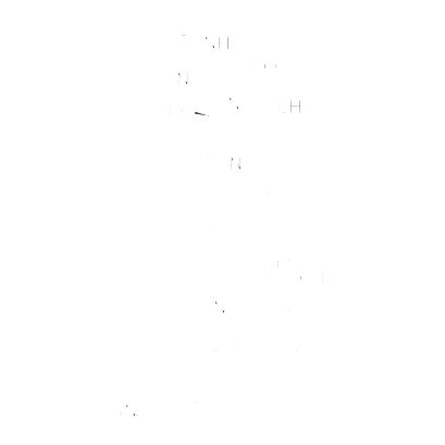 COc1c(-c2ccc(N3CC(C)N(C(=O)c4ncc[nH]4)[C@H](C)C3)cc2)cnc2c(-c3ccc(C#N)cc3)cccc12